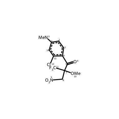 CNc1ccc(C(=O)C(C[N+](=O)[O-])(OC)C(F)(F)F)c(Cl)c1